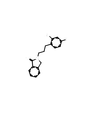 O=C1c2ccccc2CN1CCCc1ccc(F)cc1F